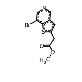 COC(=O)Cc1cc2cncc(Br)c2s1